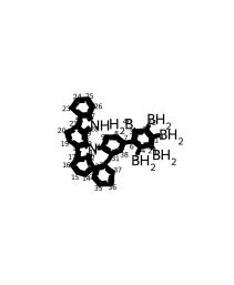 Bc1c(B)c(B)c(-c2ccc(-n3c4ccccc4c4ccc5c6ccccc6[nH]c5c43)c(-c3ccccc3)c2)c(B)c1B